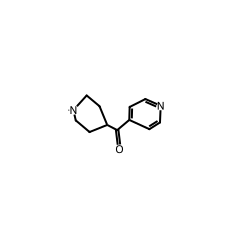 O=C(c1ccncc1)C1CC[N]CC1